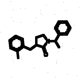 Cc1ccccc1CC1CCN(C(C)c2ccccc2)C1=O